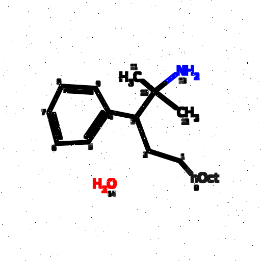 CCCCCCCCCCC(c1ccccc1)C(C)(C)N.O